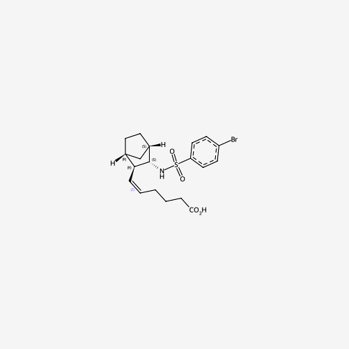 O=C(O)CCC/C=C\[C@H]1[C@@H]2CC[C@@H](C2)[C@@H]1NS(=O)(=O)c1ccc(Br)cc1